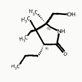 CCC[C@H]1C(=O)N[C@](C)(CO)C1(C)C